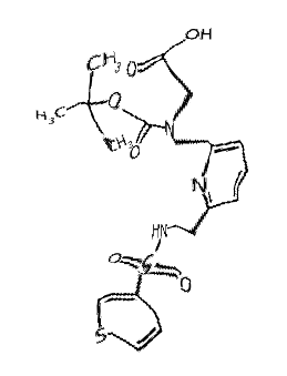 CC(C)(C)OC(=O)N(CC(=O)O)c1cccc(CNS(=O)(=O)c2ccsc2)n1